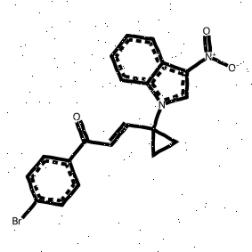 O=C(/C=C/C1(n2cc([N+](=O)[O-])c3ccccc32)CC1)c1ccc(Br)cc1